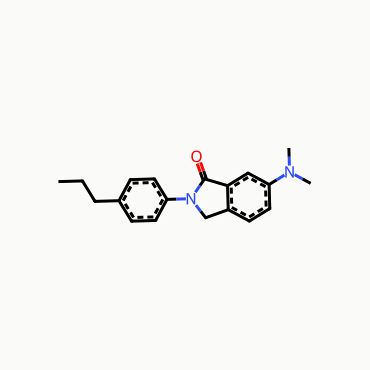 CCCc1ccc(N2Cc3ccc(N(C)C)cc3C2=O)cc1